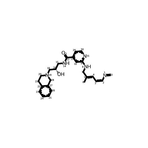 C=N/C=C\C=C(/C)CNc1cc(C(=O)NC[C@H](O)CN2CCc3ccccc3C2)ccn1